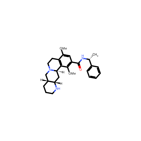 COc1cc(C(=O)N[C@H](C)c2ccccc2)c(OC)c2c1CCN1C[C@H]3CCCN[C@H]3C[C@H]21